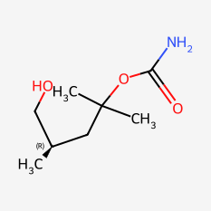 C[C@@H](CO)CC(C)(C)OC(N)=O